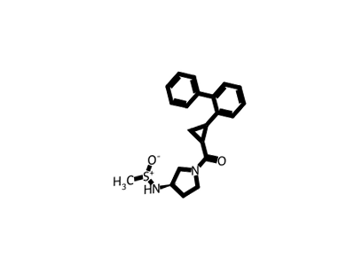 C[S+]([O-])N[C@@H]1CCN(C(=O)C2CC2c2ccccc2-c2ccccc2)C1